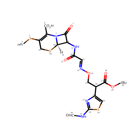 CCCSC1=C(C(=O)O)N2C(=O)C(NC(=O)/C=N/OCC(C(=O)OC(C)(C)C)c3csc(NC=O)n3)[C@H]2SC1